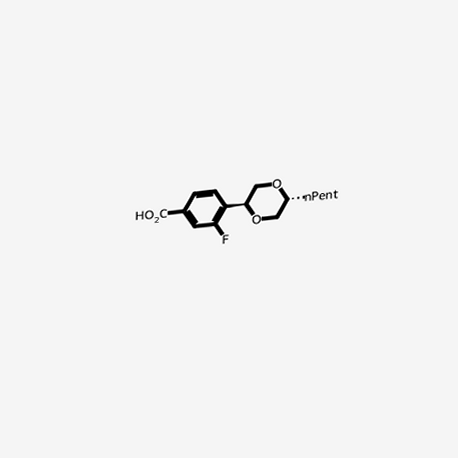 CCCCC[C@@H]1CO[C@@H](c2ccc(C(=O)O)cc2F)CO1